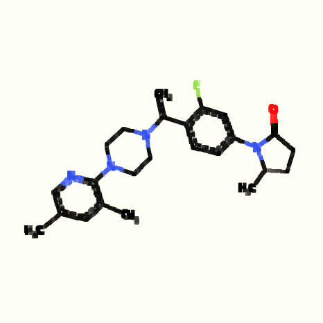 C=C(c1ccc(N2C(=O)CCC2C)cc1F)N1CCN(c2ncc(C)cc2C)CC1